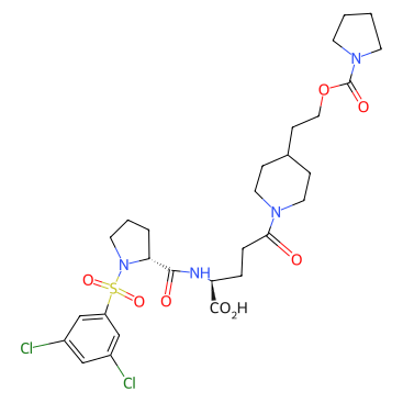 O=C(O)[C@H](CCC(=O)N1CCC(CCOC(=O)N2CCCC2)CC1)NC(=O)[C@H]1CCCN1S(=O)(=O)c1cc(Cl)cc(Cl)c1